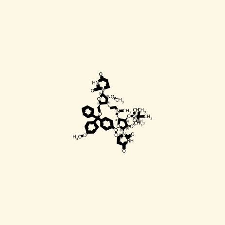 COc1ccc(C(OC[C@H]2O[C@@H](n3ccc(=O)[nH]c3=O)[C@H](OC)[C@@H]2CCN(C)C[C@H]2O[C@@H](n3ccc(=O)[nH]c3=O)[C@H](OC)[C@@H]2O[Si](C)(C)C(C)(C)C)(c2ccccc2)c2ccc(OC)cc2)cc1